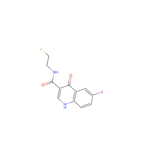 O=C(NCCF)c1c[nH]c2ccc(I)cc2c1=O